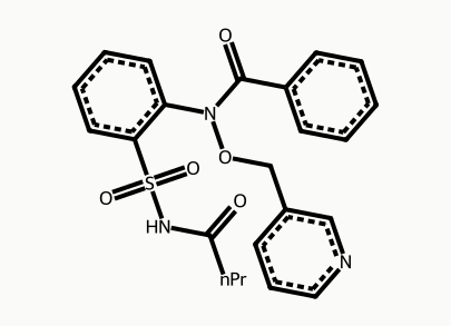 CCCC(=O)NS(=O)(=O)c1ccccc1N(OCc1cccnc1)C(=O)c1ccccc1